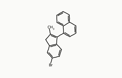 CC1=C(c2cccc3ccccc23)c2ccc(Br)cc2C1